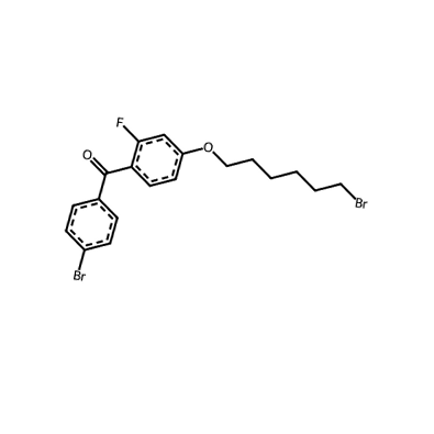 O=C(c1ccc(Br)cc1)c1ccc(OCCCCCCBr)cc1F